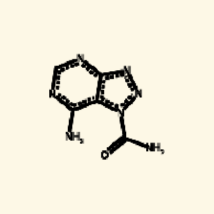 NC(=O)n1nnc2ncnc(N)c21